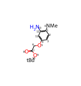 CNc1ccc(OCC(=O)OC(C)(C)C)cc1N